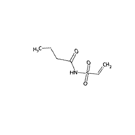 C=CS(=O)(=O)NC(=O)CCC